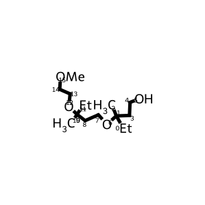 CCC(C)(CCO)OCCC(C)(CC)OCCOC